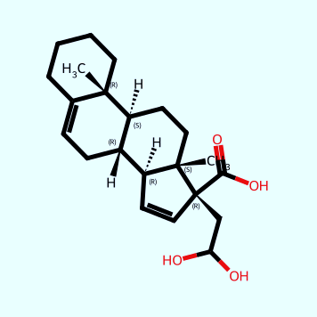 C[C@]12CCCCC1=CC[C@@H]1[C@@H]2CC[C@@]2(C)[C@H]1C=C[C@@]2(CC(O)O)C(=O)O